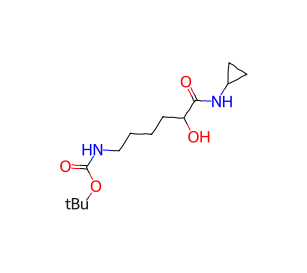 CC(C)(C)OC(=O)NCCCCC(O)C(=O)NC1CC1